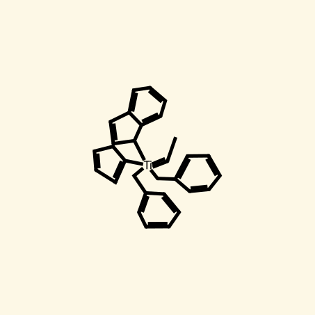 C[CH]=[Ti]([CH2]c1ccccc1)([CH2]c1ccccc1)([C]1=CC=CC1)[CH]1C=Cc2ccccc21